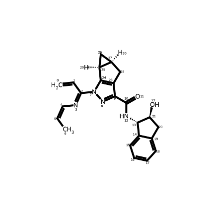 C=C/C(=N\C=C/C)n1nc(C(=O)N[C@H]2c3ccccc3C[C@@H]2O)c2c1[C@H]1C[C@H]1C2